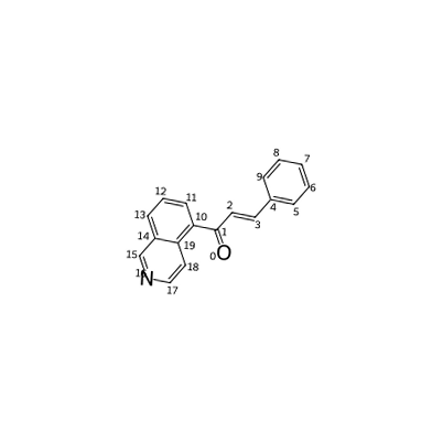 O=C(/C=C/c1ccccc1)c1cccc2cnccc12